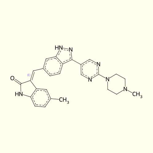 Cc1ccc2c(c1)/C(=C\c1ccc3c(-c4cnc(N5CCN(C)CC5)nc4)n[nH]c3c1)C(=O)N2